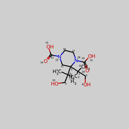 CC(C)(CO)C1(C(C)(C)CO)CN(C(=O)O)CCN1C(=O)O